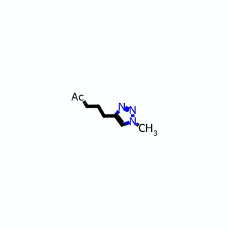 CC(=O)CCCc1cn(C)nn1